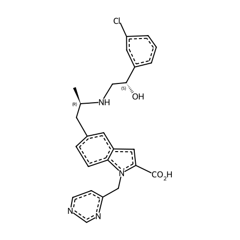 C[C@H](Cc1ccc2c(c1)cc(C(=O)O)n2Cc1ccncn1)NC[C@@H](O)c1cccc(Cl)c1